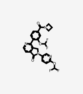 O=C(c1ccc(-c2nccc3c2CN(c2ccc(OC(F)F)nc2)C3=O)c(OC(F)F)c1)N1CCC1